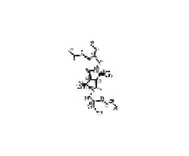 CCCCC(CC)CN1C=C2C(=O)N(CC(CC)CCCC)C=C2C1=O